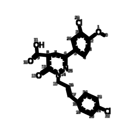 COc1ccc(-c2cc(C(=O)O)c(=O)n(CC=Cc3ccc(Cl)cc3)n2)cc1Cl